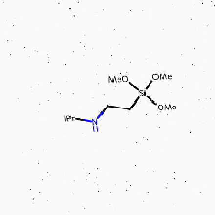 CO[Si](CCNC(C)C)(OC)OC